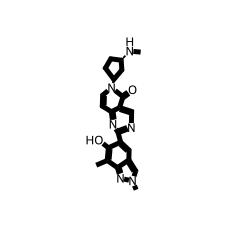 CN[C@H]1CC[C@@H](n2ccc3nc(-c4cc5cn(C)nc5c(C)c4O)ncc3c2=O)C1